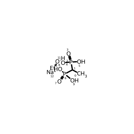 CC(P(=O)(O)O)P(=O)(O)O.CC[O-].[Na+]